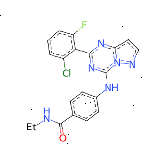 CCNC(=O)c1ccc(Nc2nc(-c3c(F)cccc3Cl)nc3ccnn23)cc1